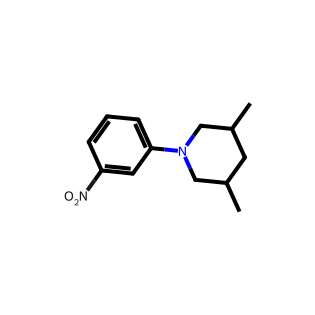 CC1CC(C)CN(c2cccc([N+](=O)[O-])c2)C1